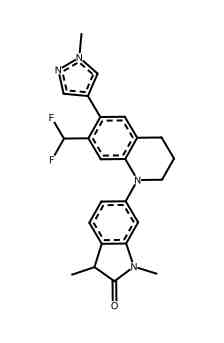 CC1C(=O)N(C)c2cc(N3CCCc4cc(-c5cnn(C)c5)c(C(F)F)cc43)ccc21